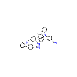 CC1C(C2(C)C=CC=CC2n2c3ccccc3c3cc(C#N)ccc32)=CC=CC1c1ccc(Cn2c3ccccc3c3ccc(C#N)cc32)cc1C#N